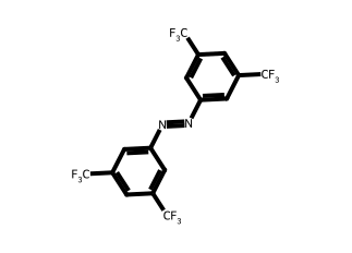 FC(F)(F)c1cc(N=Nc2cc(C(F)(F)F)cc(C(F)(F)F)c2)cc(C(F)(F)F)c1